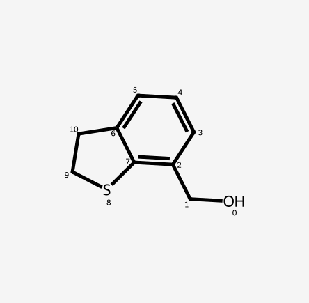 OCc1cccc2c1SCC2